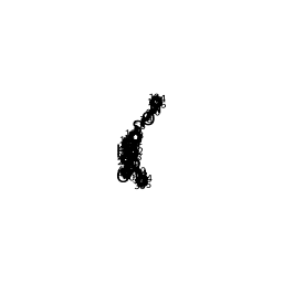 C[C@]12CCC(SCCOCCN3CCCC3)CC1=CC[C@@H]1[C@H]2CC[C@@]2(C)[C@H]1CCC2(OCCN1CCCC1)c1ccoc1